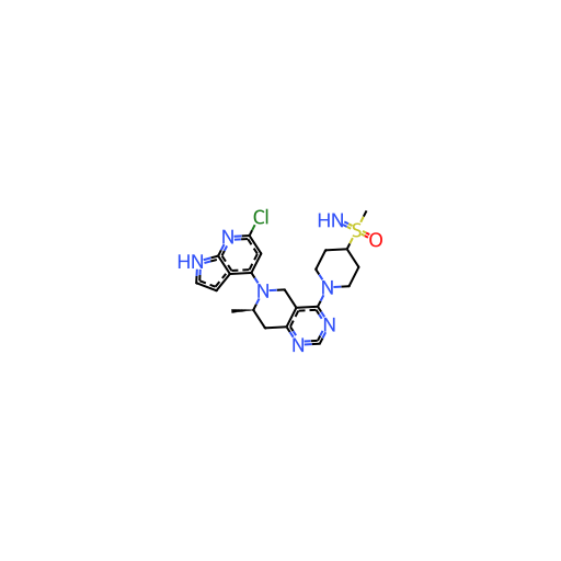 C[C@@H]1Cc2ncnc(N3CCC(S(C)(=N)=O)CC3)c2CN1c1cc(Cl)nc2[nH]ccc12